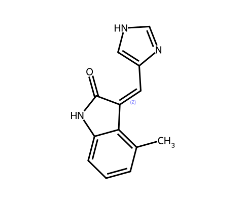 Cc1cccc2c1/C(=C/c1c[nH]cn1)C(=O)N2